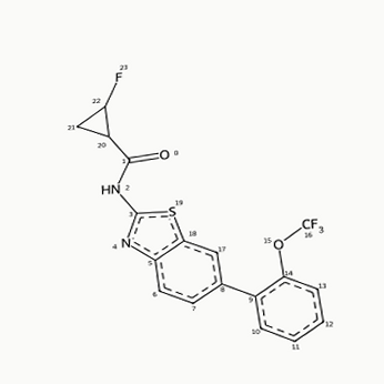 O=C(Nc1nc2ccc(-c3ccccc3OC(F)(F)F)cc2s1)C1CC1F